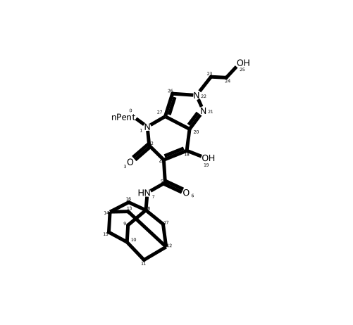 CCCCCn1c(=O)c(C(=O)NC23CC4CC(CC(C4)C2)C3)c(O)c2nn(CCO)cc21